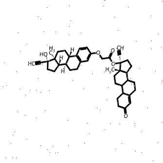 C#C[C@]1(O)CC[C@H]2[C@@H]3CCc4cc(OCC(=O)O[C@@]5(C#C)CCC6C7CCC8=CC(=O)CCC8C7CC[C@@]65C)ccc4[C@H]3CC[C@@]21C